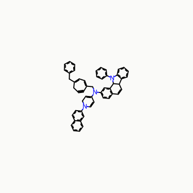 C1#CC(CN(C2=CCN(c3ccc4ccccc4c3)C=C2)c2ccc3c(c2)C2C(C=C3)c3ccccc3N2c2ccccc2)=CC=C(Cc2ccccc2)C1